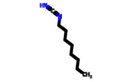 CCCCCCCCN=C=N